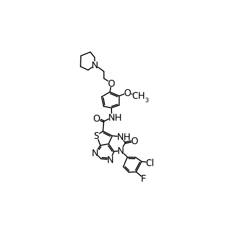 COc1cc(NC(=O)c2sc3ncnc4c3c2NC(=O)N4c2ccc(F)c(Cl)c2)ccc1OCCN1CCCCC1